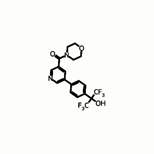 O=C(c1cncc(-c2ccc(C(O)(C(F)(F)F)C(F)(F)F)cc2)c1)N1CCOCC1